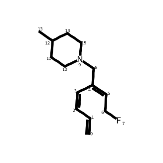 C=C/C=C\C(=C/CF)CN1CCC(C)CC1